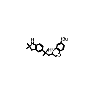 CC1(C)Cc2cc(C(C)(C)CC3COc4ccc(C(C)(C)C)cc4N3)ccc2N1